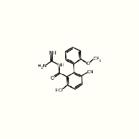 N#Cc1ccc(O)c(C(=O)NC(=N)N)c1-c1ccccc1OC(F)(F)F